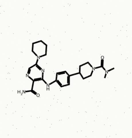 CN(C)C(=O)N1CCC(c2ccc(Nc3nc(N4CCCCC4)cnc3C(N)=O)cc2)CC1